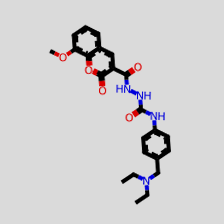 CCN(CC)Cc1ccc(NC(=O)NNC(=O)c2cc3cccc(OC)c3oc2=O)cc1